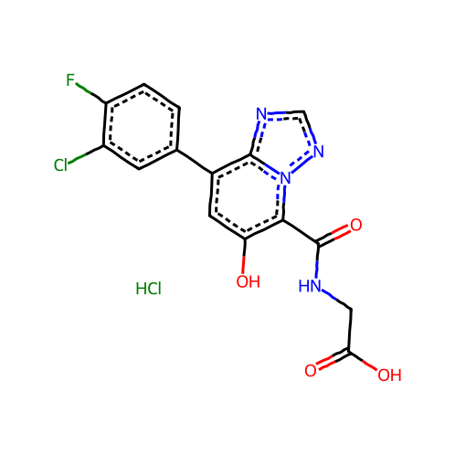 Cl.O=C(O)CNC(=O)c1c(O)cc(-c2ccc(F)c(Cl)c2)c2ncnn12